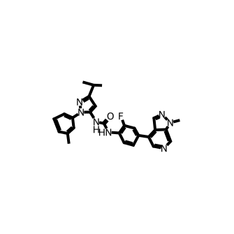 Cc1cccc(-n2nc(C(C)C)cc2NC(=O)Nc2ccc(-c3cncc4c3cnn4C)cc2F)c1